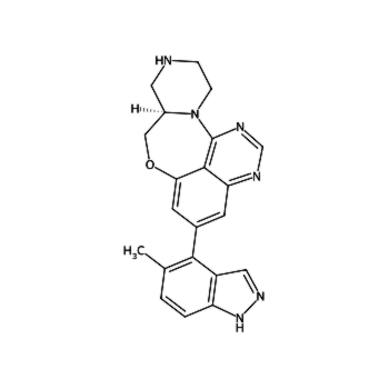 Cc1ccc2[nH]ncc2c1-c1cc2c3c(ncnc3c1)N1CCNC[C@@H]1CO2